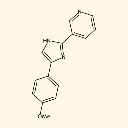 COc1ccc(-c2c[nH]c(-c3cccnc3)n2)cc1